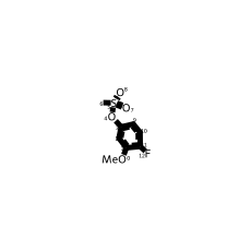 COc1cc(OS(C)(=O)=O)ccc1F